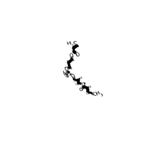 CC=CC(=O)OCCCO[PH](=O)OCCCOC(=O)C=CC